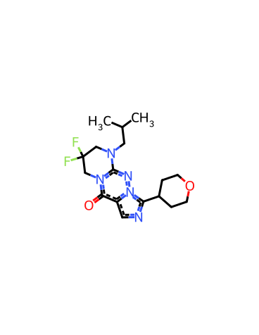 CC(C)CN1CC(F)(F)Cn2c1nn1c(C3CCOCC3)ncc1c2=O